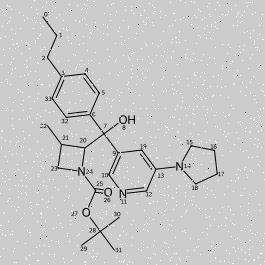 CCCc1ccc(C(O)(c2cncc(N3CCCC3)c2)C2C(C)CN2C(=O)OC(C)(C)C)cc1